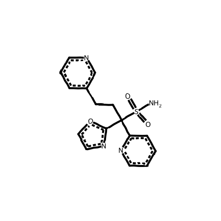 NS(=O)(=O)C(CCc1cccnc1)(c1ccccn1)c1ncco1